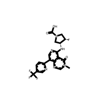 Cn1cnc2c(-c3ccc(C(F)(F)F)cn3)cnc(N[C@@H]3CN(C(=O)O)C[C@@H]3F)c2c1=O